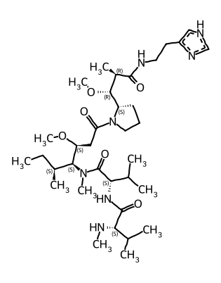 CC[C@H](C)[C@@H]([C@H](CC(=O)N1CCC[C@H]1[C@H](OC)[C@@H](C)C(=O)NCCc1c[nH]cn1)OC)N(C)C(=O)[C@@H](NC(=O)[C@@H](NC)C(C)C)C(C)C